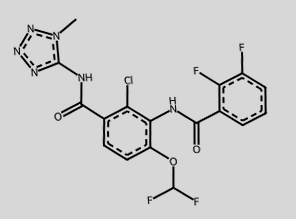 Cn1nnnc1NC(=O)c1ccc(OC(F)F)c(NC(=O)c2cccc(F)c2F)c1Cl